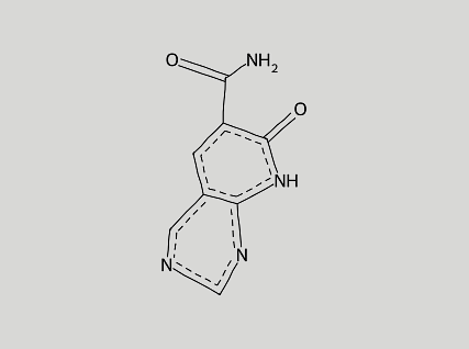 NC(=O)c1cc2cncnc2[nH]c1=O